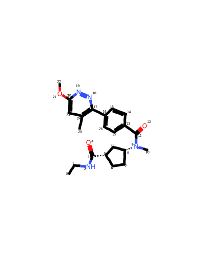 CCNC(=O)[C@H]1CC[C@@H](N(C)C(=O)c2ccc(-c3nnc(OC)cc3C)cc2)C1